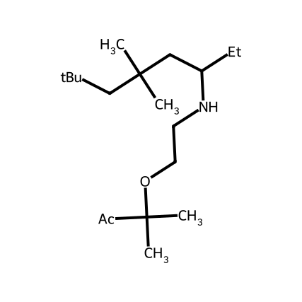 CCC(CC(C)(C)CC(C)(C)C)NCCOC(C)(C)C(C)=O